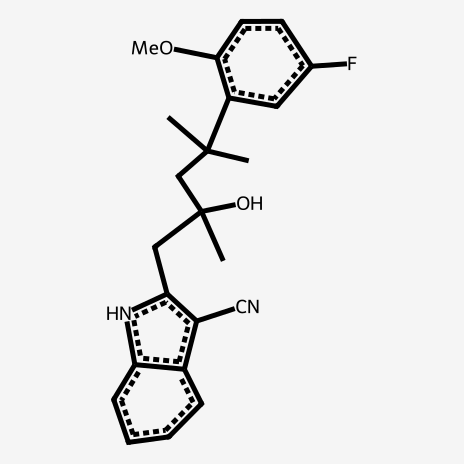 COc1ccc(F)cc1C(C)(C)CC(C)(O)Cc1[nH]c2ccccc2c1C#N